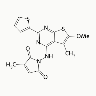 COc1sc2nc(-c3cccs3)nc(NN3C(=O)C=C(C)C3=O)c2c1C